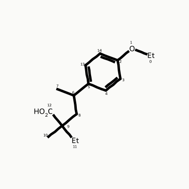 CCOc1ccc(C(C)CC(C)(CC)C(=O)O)cc1